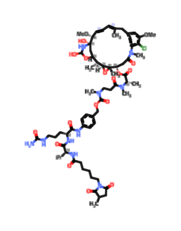 COc1cc2cc(c1Cl)N(C)C(=O)C[C@H](OC(=O)[C@H](C)N(C)C(=O)CCN(C)C(=O)OCc1ccc(NC(=O)[C@H](CCCNC(N)=O)NC(=O)[C@@H](NC(=O)CCCCCN3C(=O)CC(C)C3=O)C(C)C)cc1)[C@]1(C)O[C@H]1[C@H](C)[C@@H]1C[C@@](O)(NC(O)O1)[C@H](OC)/C=C/C=C(\C)C2